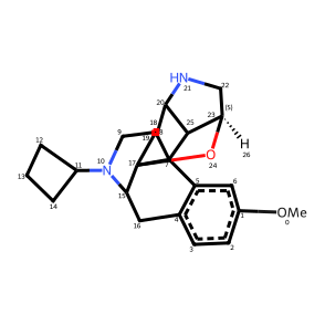 COc1ccc2c(c1)C13CCN(C4CCC4)C(C2)C12CCC1NC[C@@H](O2)C13